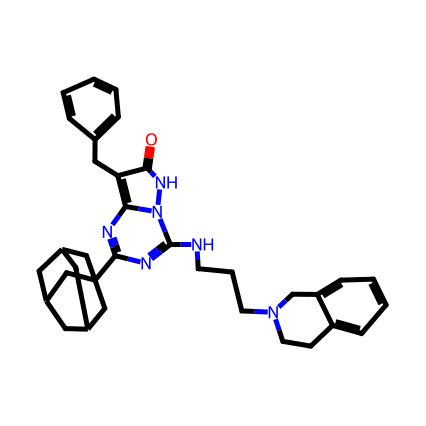 O=c1[nH]n2c(NCCCN3CCc4ccccc4C3)nc(C34CC5CC(CC(C5)C3)C4)nc2c1Cc1ccccc1